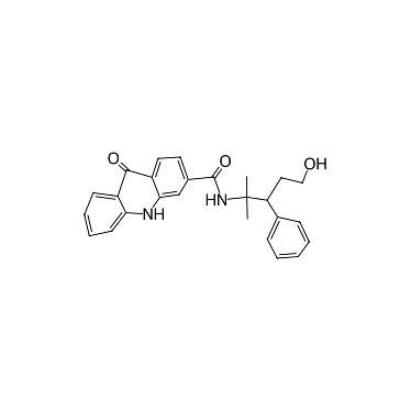 CC(C)(NC(=O)c1ccc2c(=O)c3ccccc3[nH]c2c1)C(CCO)c1ccccc1